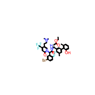 CCOC(=O)C[C@H](NC(=O)C(c1cc(Br)ccc1F)n1cc(CCN(C)C)c(C(F)(F)F)cc1=O)c1cc(-c2c(C)cccc2O)cc(C)c1F